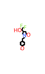 COc1ccc(CCN2CC([C@@H](O)C(F)F)CC2=O)cc1